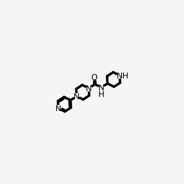 O=C(NC1CCNCC1)N1CCN(c2ccncc2)CC1